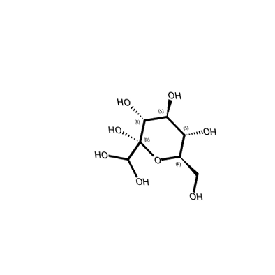 OC[C@H]1O[C@@](O)(C(O)O)[C@H](O)[C@@H](O)[C@@H]1O